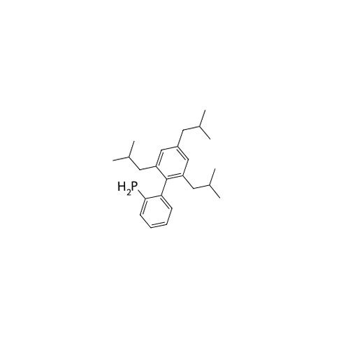 CC(C)Cc1cc(CC(C)C)c(-c2ccccc2P)c(CC(C)C)c1